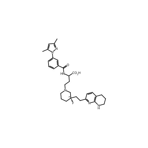 Cc1cc(C)n(-c2cccc(C(=O)NC(CCN3CCC[C@@](F)(CCc4ccc5c(n4)NCCC5)C3)C(=O)O)c2)n1